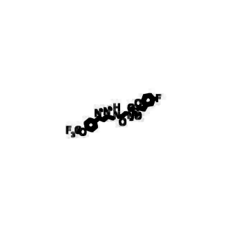 C=N/C(=C\C(=N/C)c1ccc(OC(F)(F)F)cc1)CNC(=O)CN(C)S(=O)(=O)c1cc2cc(F)ccc2o1